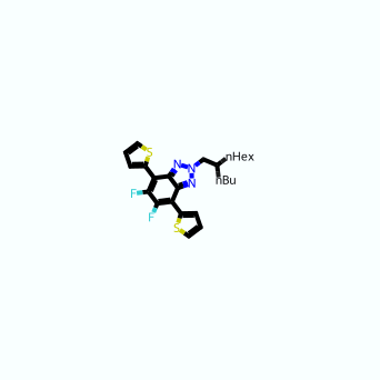 CCCCCCC(CCCC)Cn1nc2c(-c3cccs3)c(F)c(F)c(-c3cccs3)c2n1